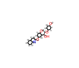 COc1ccc(OC2COc3ccc(Oc4ccc5ccccc5n4)cc3C2O)cc1